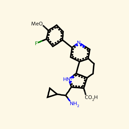 COc1ccc(-c2cc3c(cn2)CCc2c-3[nH]c(C(N)C3CC3)c2C(=O)O)cc1F